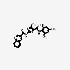 Cc1cc(C)c(NC(=O)c2sc(NC(=O)c3cnc4ccccc4c3)nc2C)c(C)c1